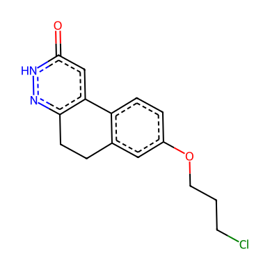 O=c1cc2c(n[nH]1)CCc1cc(OCCCCl)ccc1-2